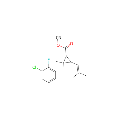 CC(C)=CC1C(C(=O)OC#N)C1(C)C.Fc1ccccc1Cl